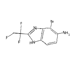 Nc1ccc2[nH]c(C(F)(F)CF)nc2c1Br